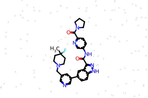 CC1(F)CCN(Cc2cncc(-c3ccc4[nH]nc(C(=O)Nc5ccc(C(=O)N6CCCC6)nc5)c4c3)c2)CC1